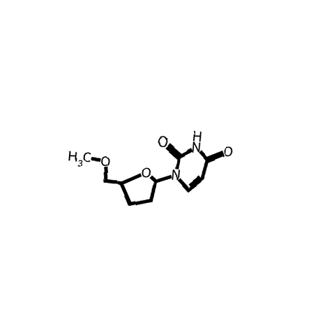 COCC1CCC(n2ccc(=O)[nH]c2=O)O1